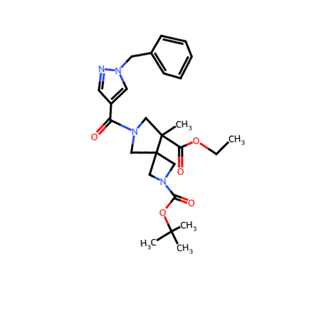 CCOC(=O)C1(C)CN(C(=O)c2cnn(Cc3ccccc3)c2)CC12CN(C(=O)OC(C)(C)C)C2